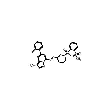 Bc1cnn2c(NCC3CCCN(S(=O)(=O)c4ccccc4S(C)(=O)=O)C3)cc(-c3ccccc3Cl)nc12